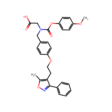 COc1ccc(OC(=O)N(CC(=O)O)Cc2ccc(OCCc3c(-c4ccccc4)noc3C)cc2)cc1